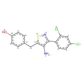 Nc1c(-c2ccc(Cl)cc2Cl)nsc1Cc1ccc(O)cc1